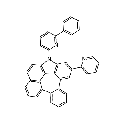 c1ccc(-c2cccc(-n3c4cc(-c5ccccn5)cc5c4c4c6c(cccc6ccc43)-c3ccccc3-5)n2)cc1